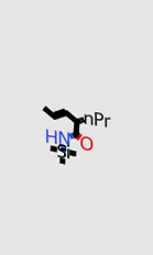 CC=CC(CCC)C(=O)N[Si](C)(C)C